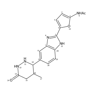 CC(=O)Nc1ccc(-c2nc3cc(C4NNC(=O)CC4C)ccc3[nH]2)o1